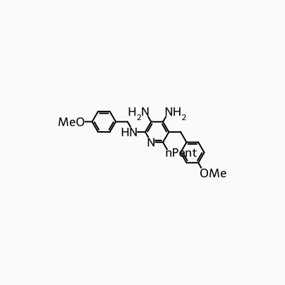 CCCCCc1nc(NCc2ccc(OC)cc2)c(N)c(N)c1Cc1ccc(OC)cc1